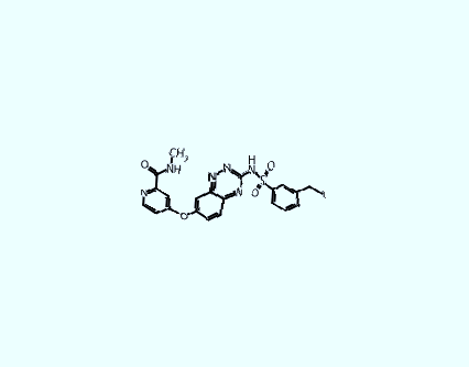 CNC(=O)c1cc(Oc2ccc3nc(NS(=O)(=O)c4cccc(CI)c4)nnc3c2)ccn1